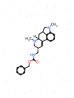 CN1CC2C[C@@H]3C(=C[C@@H](CNC(=O)OCc4ccccc4)CN3C)c3cccc1c32